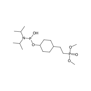 COP(=O)(CCC1CCC(OP(O)N(C(C)C)C(C)C)CC1)OC